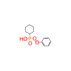 O=P(O)(OOc1ccccc1)C1CCCCC1